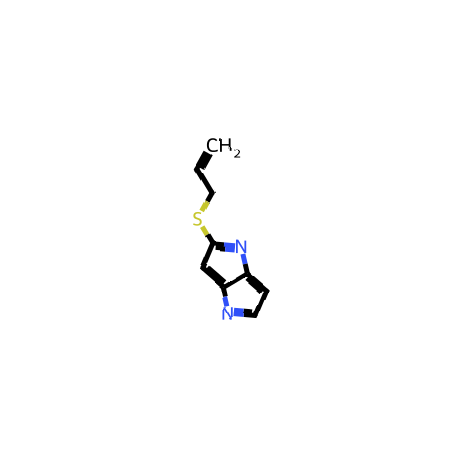 C=CCSC1=NC2=CC=NC2=C1